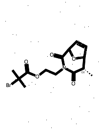 C[C@@H]1C(=O)N(CCOC(=O)C(C)(C)Br)C(=O)C2C=CC1O2